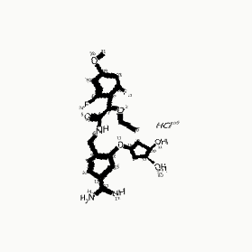 CCOC(C(=O)NCc1ccc(C(=N)N)cc1OC1C[C@@H](O)[C@@H](O)C1)c1c(F)cc(OC)cc1F.Cl